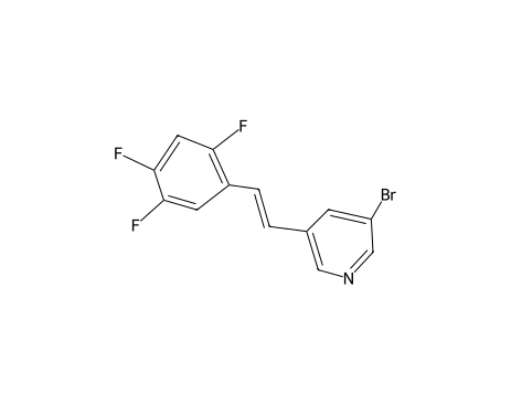 Fc1cc(F)c(/C=C/c2cncc(Br)c2)cc1F